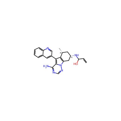 C=CC(O)N[C@@H]1Cc2c(c(-c3cnc4ccccc4c3)c3c(N)ncnn23)[C@H](C)C1